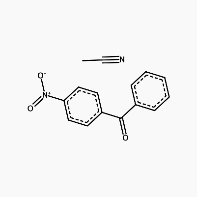 CC#N.O=C(c1ccccc1)c1ccc([N+](=O)[O-])cc1